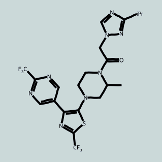 CC(C)c1ncn(CC(=O)N2CCN(c3sc(C(F)(F)F)nc3-c3cnc(C(F)(F)F)nc3)CC2C)n1